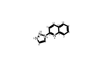 c1ccc2nc(-n3ccnn3)ccc2c1